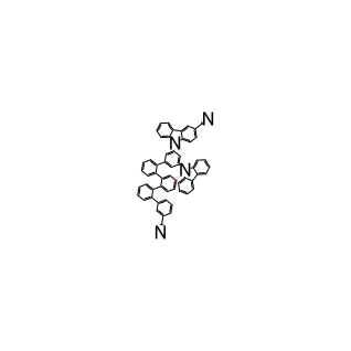 N#Cc1cccc(-c2ccccc2-c2ccccc2-c2ccccc2-c2cc(-n3c4ccccc4c4ccccc43)cc(-n3c4ccccc4c4cc(C#N)ccc43)c2)c1